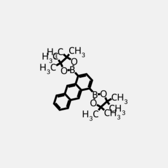 CC1(C)OB(c2ccc(B3OC(C)(C)C(C)(C)O3)c3cc4ccccc4cc23)OC1(C)C